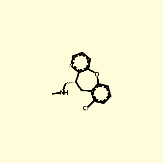 CNC[C@H]1Cc2c(Cl)cccc2Oc2cccnc21